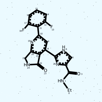 CCNC(=O)c1c[nH]c(-c2cc(-c3c(F)cccc3F)nc3c2C(=O)NC3)n1